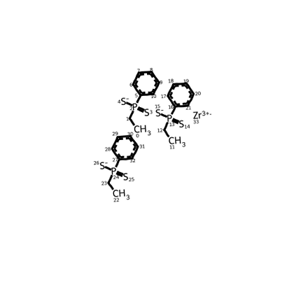 CCP(=S)([S-])c1ccccc1.CCP(=S)([S-])c1ccccc1.CCP(=S)([S-])c1ccccc1.[Zr+3]